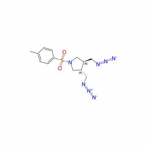 Cc1ccc(S(=O)(=O)N2C[C@@H](CN=[N+]=[N-])[C@H](CN=[N+]=[N-])C2)cc1